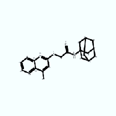 Cc1cc(SCC(=O)NC23CC4CC(CC(C4)C2)C3)nc2ccccc12